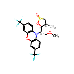 COC[C@@H]([C@H]1OS(=O)C[C@H]1C)N1c2ccc(C(F)(F)F)cc2Oc2cc(C(F)(F)F)ccc21